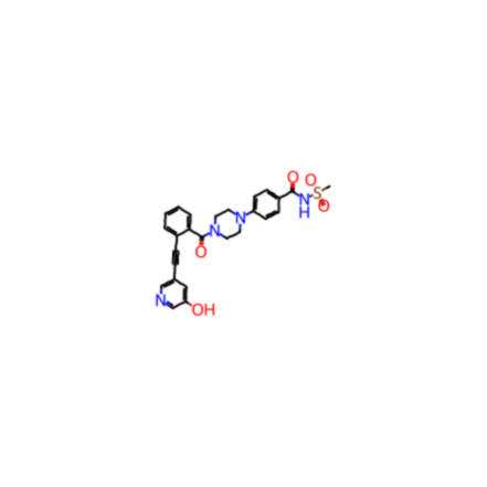 CS(=O)(=O)NC(=O)c1ccc(N2CCN(C(=O)c3ccccc3C#Cc3cncc(O)c3)CC2)cc1